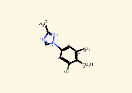 Cc1ncn(-c2cc(Cl)c(C(=O)O)c(C(F)(F)F)c2)n1